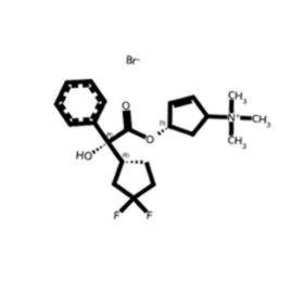 C[N+](C)(C)C1C=C[C@@H](OC(=O)[C@](O)(c2ccccc2)[C@@H]2CCC(F)(F)C2)C1.[Br-]